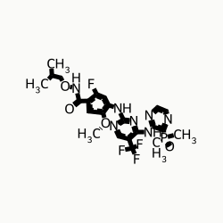 COc1cc(C(=O)NOCC(C)C)c(F)cc1Nc1ncc(C(F)(F)F)c(Nc2nccnc2P(C)(C)=O)n1